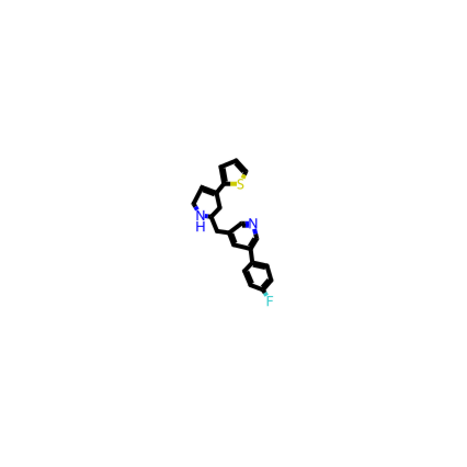 Fc1ccc(-c2cncc(CC3CC(c4cccs4)=CCN3)c2)cc1